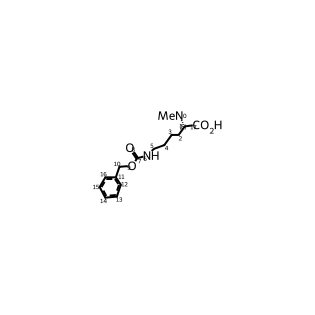 CN[C@@H](CCCCNC(=O)OCc1ccccc1)C(=O)O